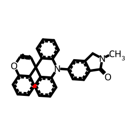 CN1Cc2cc(N3c4ccccc4C4(c5ccccc5Oc5ccccc54)c4ccccc43)ccc2C1=O